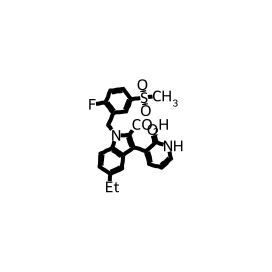 CCc1ccc2c(c1)c(-c1ccc[nH]c1=O)c(C(=O)O)n2Cc1cc(S(C)(=O)=O)ccc1F